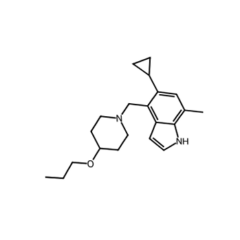 CCCOC1CCN(Cc2c(C3CC3)cc(C)c3[nH]ccc23)CC1